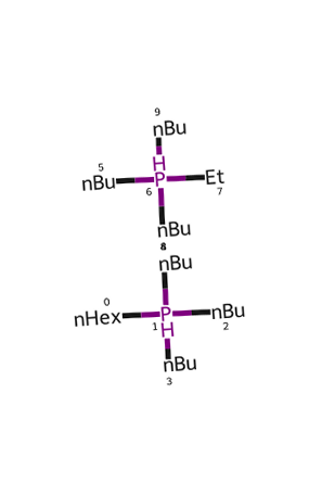 CCCCCC[PH](CCCC)(CCCC)CCCC.CCCC[PH](CC)(CCCC)CCCC